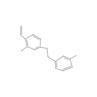 C=Cc1ccc(CCc2cccc(C)c2)cc1C